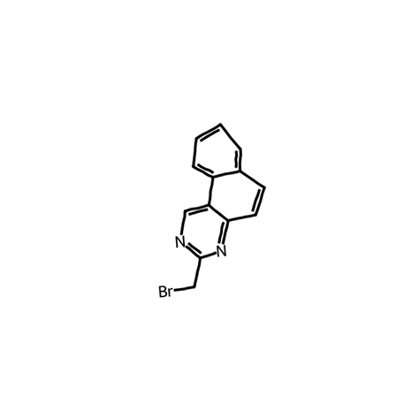 BrCc1ncc2c(ccc3ccccc32)n1